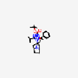 Cc1nnc(C(C)C)n1C1CC2CCC(C1)N2CC[C@H](NC(=O)OC(C)(C)C)c1ccccc1